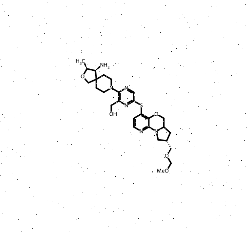 COCOC[C@H]1CC2COc3c(Sc4cnc(N5CCC6(CC5)CO[C@@H](C)[C@H]6N)c(CO)n4)ccnc3N2C1